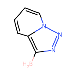 Bc1nnn2ccccc12